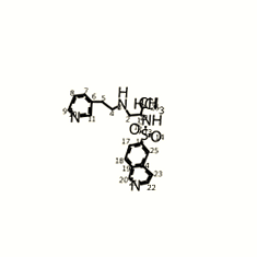 CC(CNCCc1cccnc1)NS(=O)(=O)c1ccc2cnccc2c1.Cl